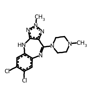 CN1CCN(C2=Nc3cc(Cl)c(Cl)cc3Nc3nn(C)nc32)CC1